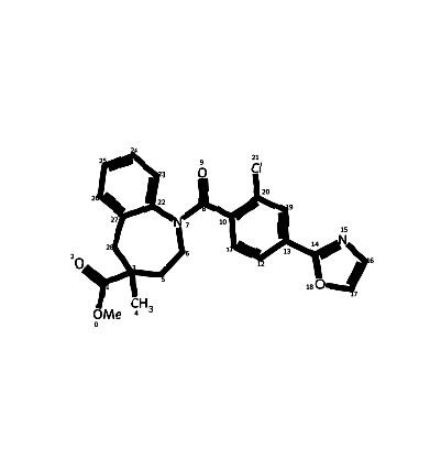 COC(=O)C1(C)CCN(C(=O)c2ccc(-c3ncco3)cc2Cl)c2ccccc2C1